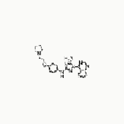 Nc1nc(Nc2ccc(OCCN3CCCC3)cc2)nn1-c1ncnc2ccsc12